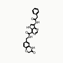 O=C1COc2ccc(CNC(=O)c3ncnc4c(NC(=O)Cc5ccccc5)c[nH]c34)cc2N1